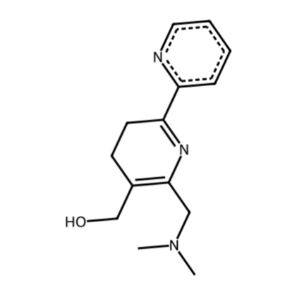 CN(C)CC1=C(CO)CCC(c2ccccn2)=N1